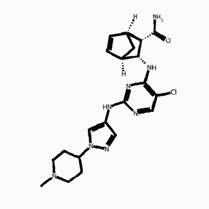 CN1CCC(n2cc(Nc3ncc(Cl)c(N[C@H]4[C@@H](C(N)=O)[C@@H]5C=C[C@H]4C5)n3)cn2)CC1